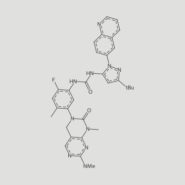 CNc1ncc2c(n1)N(C)C(=O)N(c1cc(NC(=O)Nc3cc(C(C)(C)C)nn3-c3ccc4ncccc4c3)c(F)cc1C)C2